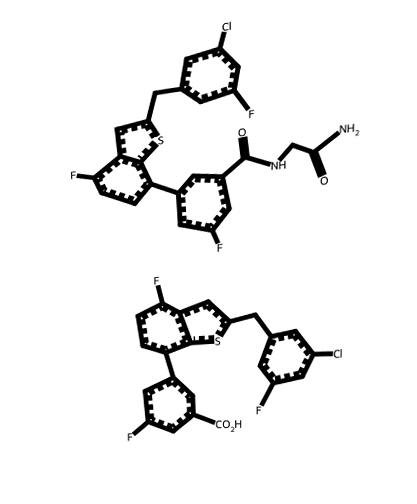 NC(=O)CNC(=O)c1cc(F)cc(-c2ccc(F)c3cc(Cc4cc(F)cc(Cl)c4)sc23)c1.O=C(O)c1cc(F)cc(-c2ccc(F)c3cc(Cc4cc(F)cc(Cl)c4)sc23)c1